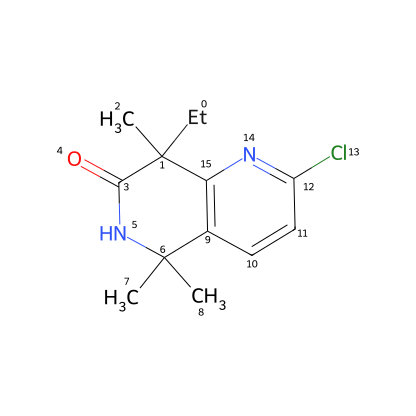 CCC1(C)C(=O)NC(C)(C)c2ccc(Cl)nc21